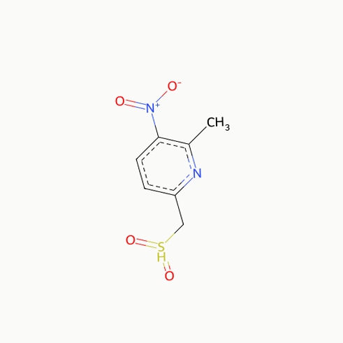 Cc1nc(C[SH](=O)=O)ccc1[N+](=O)[O-]